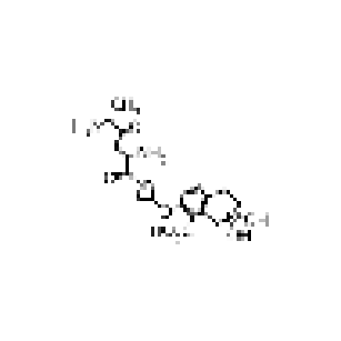 C[C@@H](N)C(=O)C[C@H](N)C(=O)N1CC(Oc2ccc3c(c2C(=O)O)C[B-](O)(O)CC3)C1